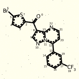 O=C(c1ccc(Br)s1)c1cnn2c(-c3cccc(C(F)(F)F)c3)ccnc12